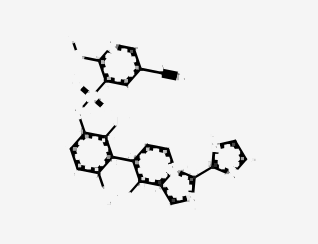 COc1ncc(C#N)cc1S(=O)(=O)Nc1ccc(F)c(-c2ccn3c(-c4ncc[nH]4)ncc3c2F)c1F